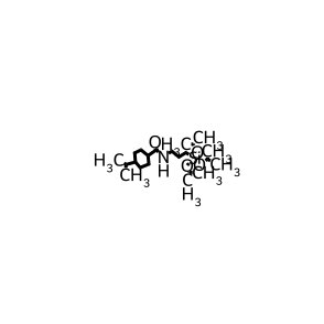 CC(C)O[Si](CCCNC(=O)C1CCC(C(C)C)CC1)(OC(C)C)OC(C)C